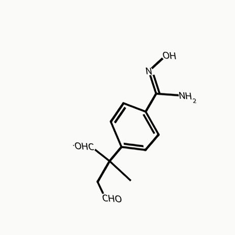 CC([C]=O)(CC=O)c1ccc(C(N)=NO)cc1